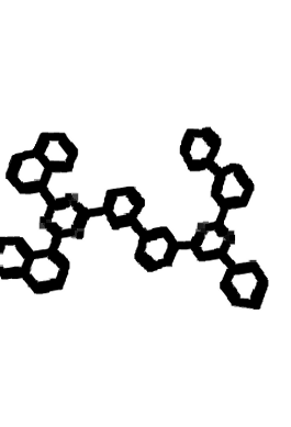 c1ccc(-c2cccc(-c3nc(-c4ccccc4)cc(-c4cccc(-c5cccc(-c6nc(-c7cccc8ccccc78)nc(-c7cccc8ccccc78)n6)c5)c4)n3)c2)cc1